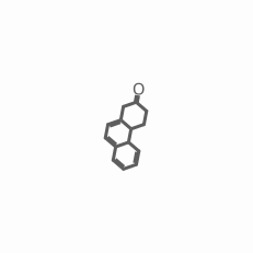 O=C1CCC2C(=CC=C3C=CC=CC32)C1